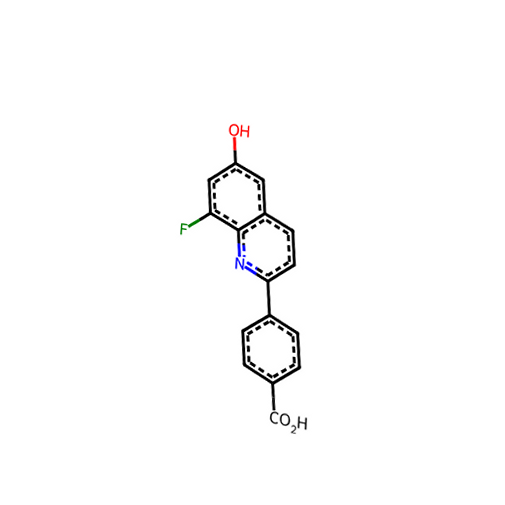 O=C(O)c1ccc(-c2ccc3cc(O)cc(F)c3n2)cc1